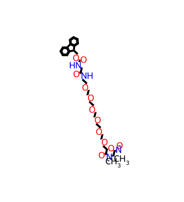 C[C@@H](C(=O)N=O)N(C)C(=O)CCOCCOCCOCCOCCOCCOCCNC(=O)CNC(=O)OCC1c2ccccc2-c2ccccc21